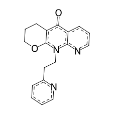 O=c1c2c(n(CCc3ccccn3)c3ncccc13)OCCC2